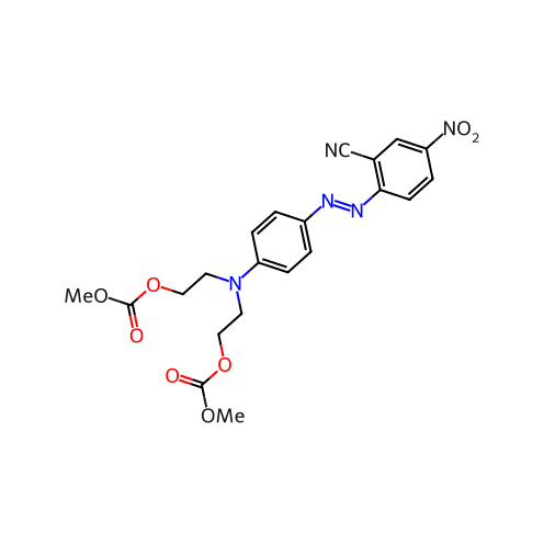 COC(=O)OCCN(CCOC(=O)OC)c1ccc(N=Nc2ccc([N+](=O)[O-])cc2C#N)cc1